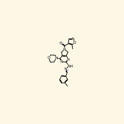 Cc1cccc(/C=N/Nc2nc3c(c(N4CCOCC4)n2)CN(C(=O)c2cnoc2C)C3)c1